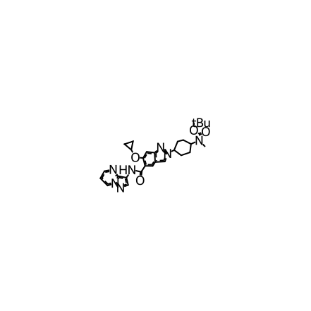 CN(C(=O)OC(C)(C)C)C1CCC(n2cc3cc(C(=O)Nc4cnn5cccnc45)c(OC4CC4)cc3n2)CC1